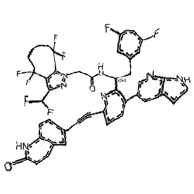 O=C(Cn1nc(C(F)F)c2c1C(F)(F)CCC2(F)F)N[C@@H](Cc1cc(F)cc(F)c1)c1nc(C#Cc2ccc3[nH]c(=O)ccc3c2)ccc1-c1cnc2[nH]ccc2c1